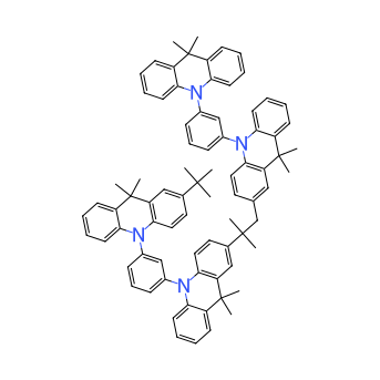 CC(C)(C)c1ccc2c(c1)C(C)(C)c1ccccc1N2c1cccc(N2c3ccccc3C(C)(C)c3cc(C(C)(C)Cc4ccc5c(c4)C(C)(C)c4ccccc4N5c4cccc(N5c6ccccc6C(C)(C)c6ccccc65)c4)ccc32)c1